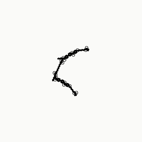 C=C(C)C(=O)OCCCCCCOc1ccc(C(=O)Oc2ccc(-c3ccc(C(=O)OC(CCCC)COC(=O)CCCCCCCCCCC(=O)OCC(CCCC)OC(=O)c4ccc(-c5ccc(OC(=O)c6ccc(OCCCCCCOC(=O)C(=C)C)cc6)cc5)cc4)cc3)cc2)cc1